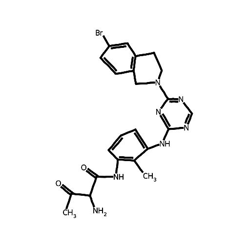 CC(=O)C(N)C(=O)Nc1cccc(Nc2ncnc(N3CCc4cc(Br)ccc4C3)n2)c1C